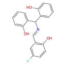 Oc1ccc(F)cc1/C=N/C(c1ccccc1O)c1ccccc1O